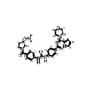 CN(C)SN1CCN(C(=O)c2ccc(NC(=O)Nc3ccc(-c4nc(N5CCOCC5)c5cccn5n4)cc3)cc2)C1